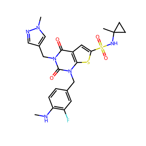 CNc1ccc(Cn2c(=O)n(Cc3cnn(C)c3)c(=O)c3cc(S(=O)(=O)NC4(C)CC4)sc32)cc1F